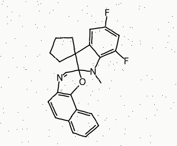 CN1c2c(F)cc(F)cc2C2(CCCC2)C12C=Nc1ccc3ccccc3c1O2